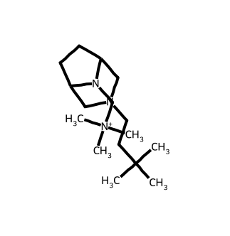 CC(C)(C)CCN1CC2CCC(C1)N2C[N+](C)(C)C